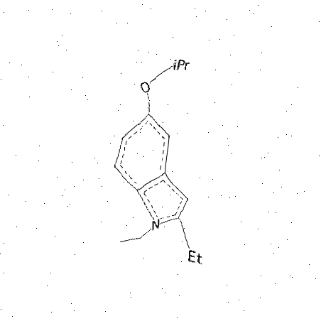 CCc1cc2cc(OC(C)C)ccc2n1C